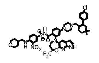 CC1(C)CCC(CN2CCN(c3ccc(C(=O)NS(=O)(=O)c4ccc(NCC5CCOCC5)c([N+](=O)[O-])c4)c(N4CC[C@@H](C(F)(F)F)Oc5nc6[nH]ccc6cc54)c3)CC2)=C(c2ccc(Cl)cc2)C1